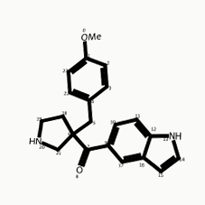 COc1ccc(CC2(C(=O)c3ccc4[nH]ccc4c3)CCNC2)cc1